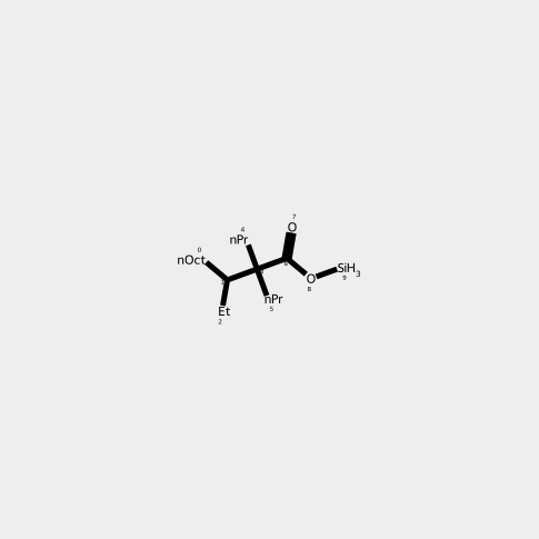 CCCCCCCCC(CC)C(CCC)(CCC)C(=O)O[SiH3]